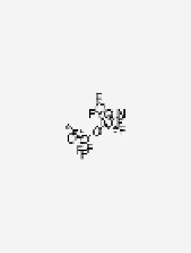 N#Cc1c(C(F)(F)F)cc(-c2ccc(-c3cc([S+]([O-])CC4CC4)cc(C(F)(F)F)c3)cc2)n(Cc2ccc(F)cc2F)c1=O